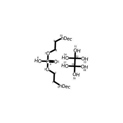 CCCCCCCCCCCCOP(=O)(O)OCCCCCCCCCCCC.OC(O)(O)C(O)(O)O